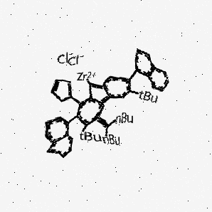 CCCCC(CCCC)=c1c(C(C)(C)C)c(-c2cccc3ccccc23)c(C2=CC=CC2)c2c1=c1cc(C(C)(C)C)c(-c3cccc4ccccc34)cc1=[C]2[Zr+2].[Cl-].[Cl-]